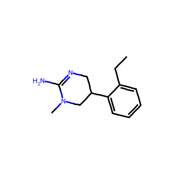 CCc1ccccc1C1CN=C(N)N(C)C1